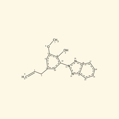 C=CCc1cc(OC)c(O)c(-n2nc3ccccc3n2)c1